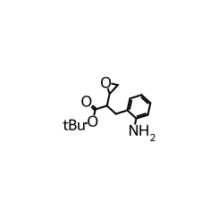 CC(C)(C)OC(=O)C(Cc1ccccc1N)C1CO1